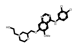 COc1cc2c(Nc3ccc(Cl)c(Cl)c3)ncnc2cc1OCC1CN(CCO)CCO1